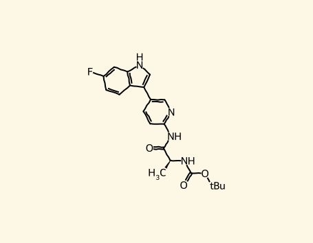 C[C@H](NC(=O)OC(C)(C)C)C(=O)Nc1ccc(-c2c[nH]c3cc(F)ccc23)cn1